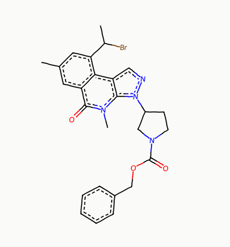 Cc1cc(C(C)Br)c2c(c1)c(=O)n(C)c1c2cnn1C1CCN(C(=O)OCc2ccccc2)C1